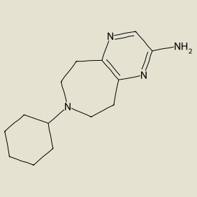 Nc1cnc2c(n1)CCN(C1CCCCC1)CC2